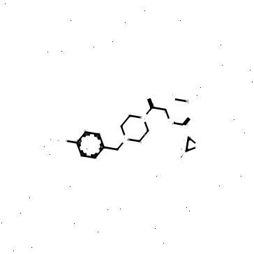 CCOC(=O)[C@@H]1O[C@H]1C(=O)N[C@@H](CC(C)C)C(=O)N1CCN(Cc2ccc(OC)cc2)CC1